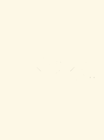 CCCOc1ccc2oc(-c3ccc(OC)c(OC)c3)cc2c1